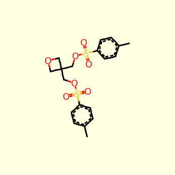 Cc1ccc(S(=O)(=O)OCC2(COS(=O)(=O)c3ccc(C)cc3)COC2)cc1